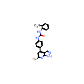 CC(C)(C)c1cc(-c2ccc(NC(=O)Nc3ccccc3[N+](=O)[O-])cc2)c2cn[nH]c2n1